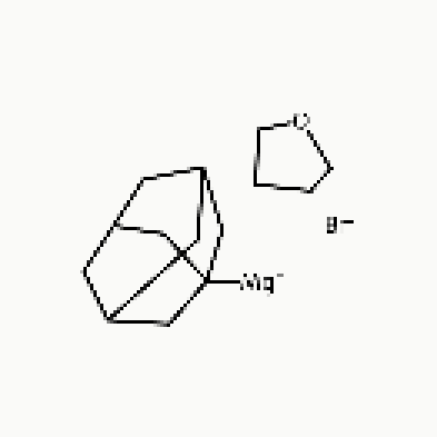 C1CCOC1.[Br-].[Mg+][C]12CC3CC(CC(C3)C1)C2